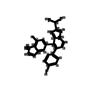 Cc1cc(-c2c(-c3ccc(F)cc3)ccn3nc(C(F)F)nc23)cc2cn[nH]c12